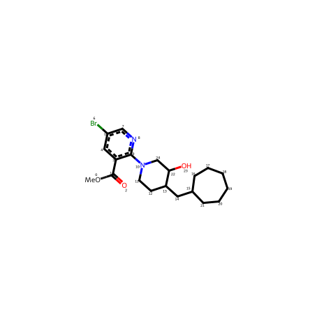 COC(=O)c1cc(Br)cnc1N1CCC(CC2CCCCCC2)C(O)C1